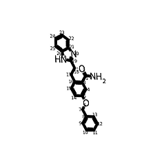 NC(=O)c1cc(OCc2ccccc2)ccc1C[CH]c1nc2ccccc2[nH]1